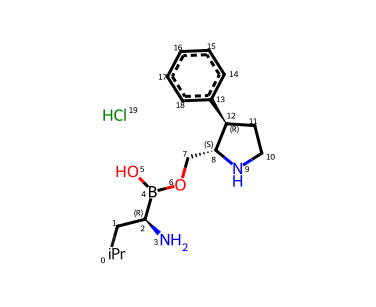 CC(C)C[C@H](N)B(O)OC[C@H]1NCC[C@@H]1c1ccccc1.Cl